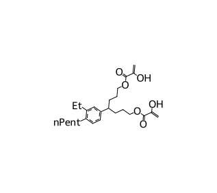 C=C(O)C(=O)OCCCC(CCCOC(=O)C(=C)O)c1ccc(CCCCC)c(CC)c1